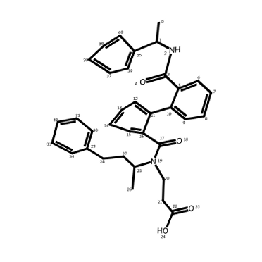 CC(NC(=O)c1ccccc1-c1ccccc1C(=O)N(CCC(=O)O)C(C)CCc1ccccc1)c1ccccc1